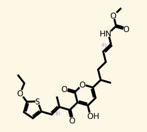 CCOc1ccc(/C=C(\C)C(=O)c2c(O)cc(C(C)CC/C=C/NC(=O)OC)oc2=O)s1